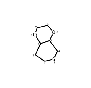 C1COC2CSCCC2O1